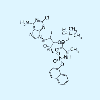 C[C@H](NP(=O)(OC[C@H]1O[C@@H](n2cnc3c(N)nc(Cl)nc32)C(I)C1O)Oc1cccc2ccccc12)C(=O)OCC(C)(C)C